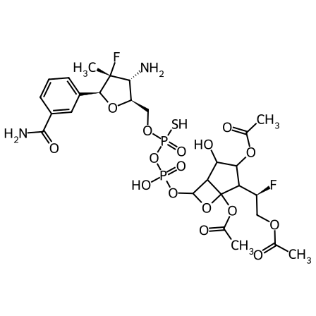 CC(=O)OC[C@H](F)C1C(OC(C)=O)C(O)C2C(OP(=O)(O)OP(=O)(S)OC[C@H]3O[C@@H](c4cccc(C(N)=O)c4)[C@](C)(F)[C@@H]3N)OC21OC(C)=O